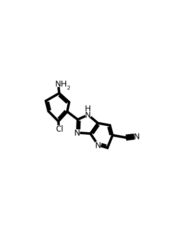 N#Cc1cnc2nc(-c3cc(N)ccc3Cl)[nH]c2c1